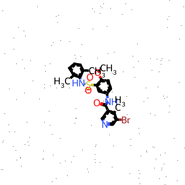 COc1ccc(NC(=O)c2cncc(Br)c2C)cc1S(=O)(=O)Nc1c(C)cccc1C